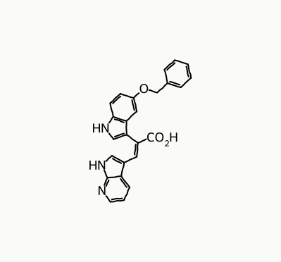 O=C(O)C(=Cc1c[nH]c2ncccc12)c1c[nH]c2ccc(OCc3ccccc3)cc12